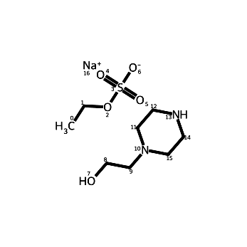 CCOS(=O)(=O)[O-].OCCN1CCNCC1.[Na+]